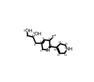 OC[C@H](O)CC1=CC(F)C(C2=CCNCC2)=NC1